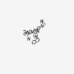 C=CC(=O)N1CCN(c2nc(OCN3CCCC(N(C)C)C3)nc3c2CCN(c2cccc4ccccc24)C3)C[C@@H]1CC#N